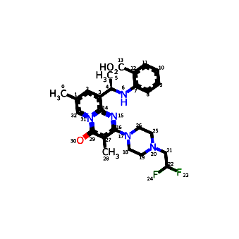 Cc1cc([C@@H](C)Nc2ccccc2C(=O)O)c2nc(N3CCN(CC(F)F)CC3)c(C)c(=O)n2c1